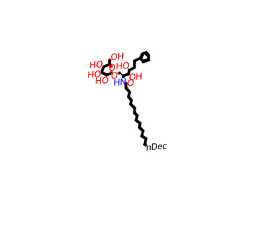 CCCCCCCCCCCCCCCCCCCCCCCCCC(=O)N[C@@H](COC1OC(CO)C(O)C(O)[C@@H]1O)[C@H](O)[C@H](O)CCc1ccccc1